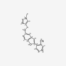 Cn1cnc(COc2ccc3oc(-c4ccncc4C#N)cc3c2)c1